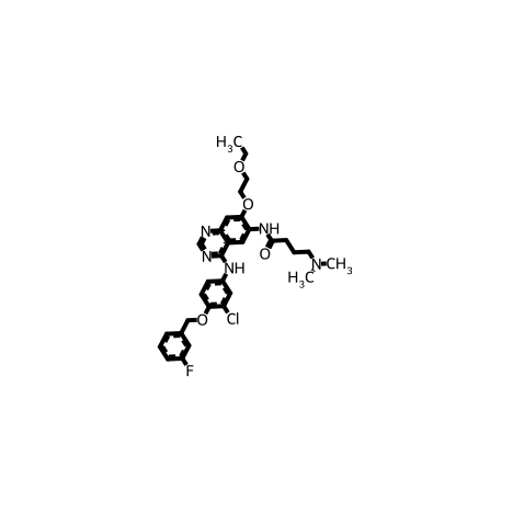 CCOCCOc1cc2ncnc(Nc3ccc(OCc4cccc(F)c4)c(Cl)c3)c2cc1NC(=O)CCCN(C)C